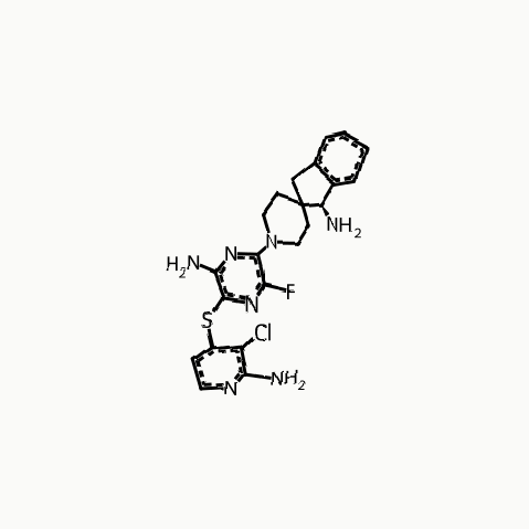 Nc1nc(N2CCC3(CC2)Cc2ccccc2[C@H]3N)c(F)nc1Sc1ccnc(N)c1Cl